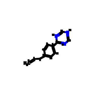 C=CCc1ccc(-c2ncncn2)cc1